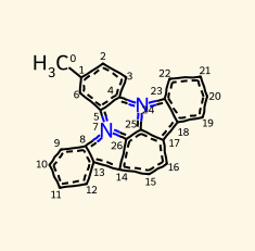 Cc1ccc2c(c1)n1c3ccccc3c3ccc4c5ccccc5n2c4c31